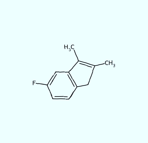 CC1=C(C)c2cc(F)ccc2C1